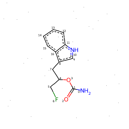 NC(=O)OC(CF)Cc1c[nH]c2ccccc12